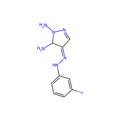 NC1C(=NNc2cccc(I)c2)C=NN1N